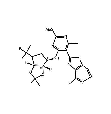 CSc1nc(C)c(-c2nc3c(C)nccc3s2)c(N[C@@H]2CC(C(C)(C)F)[C@H]3OC(C)(C)O[C@H]32)n1